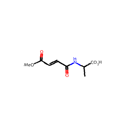 COC(=O)C=CC(=O)NC(C)C(=O)O